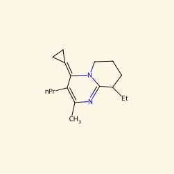 CCCC1=C(C)N=C2C(CC)CCCN2C1=C1CC1